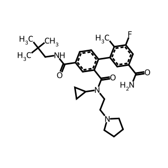 Cc1c(F)cc(C(N)=O)cc1-c1ccc(C(=O)NCC(C)(C)C)cc1C(=O)N(CCN1CCCC1)C1CC1